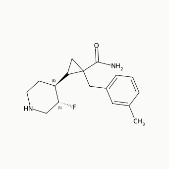 Cc1cccc(CC2(C(N)=O)CC2[C@@H]2CCNC[C@H]2F)c1